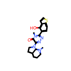 CN1CCCC2CCN(c3nnc(-c4ccc5sccc5c4O)n(C)c3=O)C21